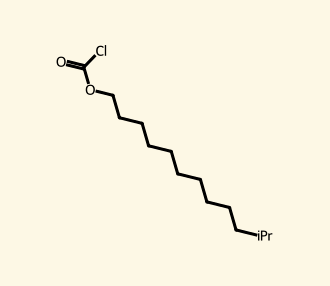 CC(C)CCCCCCCCCCOC(=O)Cl